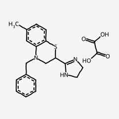 Cc1ccc2c(c1)N(Cc1ccccc1)CC(C1=NCCN1)S2.O=C(O)C(=O)O